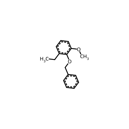 CCc1cccc(OC)c1OCc1ccccc1